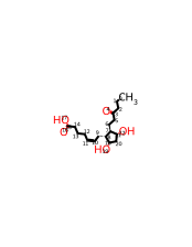 CCCC(=O)CC[C@@H]1[C@@H](C/C=C\CCCC(=O)O)[C@@H](O)C[C@H]1O